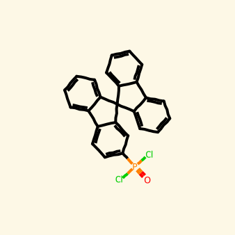 O=P(Cl)(Cl)c1ccc2c(c1)C1(c3ccccc3-c3ccccc31)c1ccccc1-2